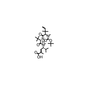 C=CC(C)(C)C(C(=O)N[C@H](C(=O)N(C)[C@H](/C=C(\C)C(=O)O)C(C)C)C(C)(C)C)N(C)C(=O)OC(C)(C)C